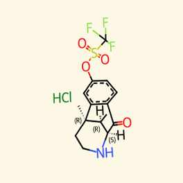 C[C@H]1[C@@H]2NCC[C@@]1(C)c1cc(OS(=O)(=O)C(F)(F)F)ccc1C2=O.Cl